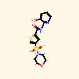 O=C(Nc1ncccc1O)c1cc(S(=O)(=O)N2CCOCC2)cs1